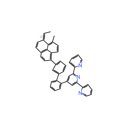 C/C=c1/ccc2ccc(-c3cccc(-c4ccccc4-c4cc(-c5ccccn5)nc(-c5ccccn5)c4)c3)c3ccc(C)c1c23